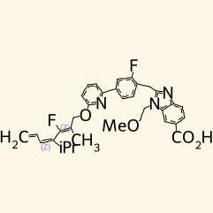 C=C/C=C(\C(F)=C(/C)COc1cccc(-c2ccc(Cc3nc4ccc(C(=O)O)cc4n3CCOC)c(F)c2)n1)C(C)C